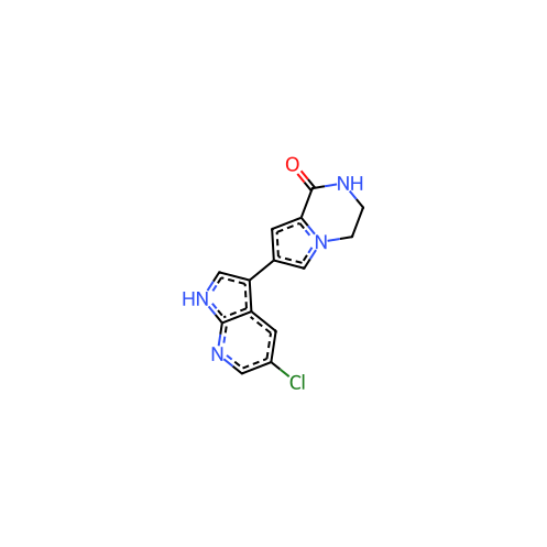 O=C1NCCn2cc(-c3c[nH]c4ncc(Cl)cc34)cc21